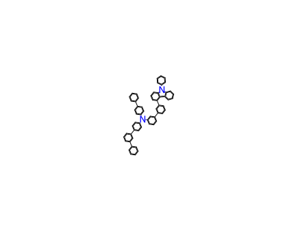 c1ccc(-c2ccc(N(c3ccc(-c4cccc(-c5ccccc5)c4)cc3)c3cccc(-c4cccc(-c5cccc6c5c5ccccc5n6-c5ccccc5)c4)c3)cc2)cc1